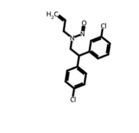 C=CCN(CC(c1ccc(Cl)cc1)c1cccc(Cl)c1)N=O